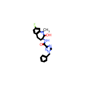 CN1c2cc(F)ccc2CC[C@H](NC(=O)c2ncn(Cc3ccccc3)n2)C1O